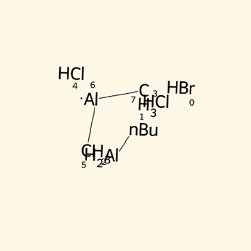 Br.CCC[CH2][AlH2].Cl.Cl.[CH3][Al][CH3]